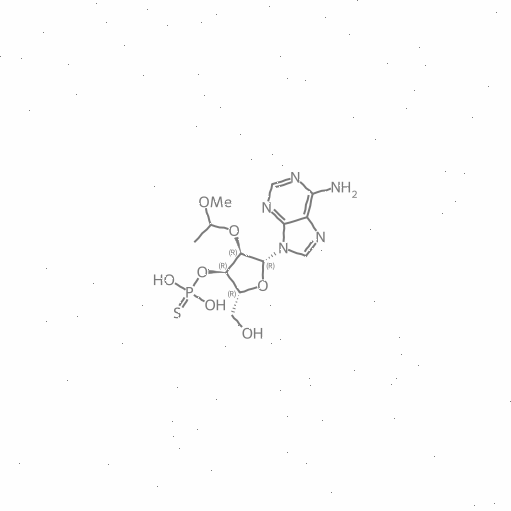 COC(C)O[C@@H]1[C@H](OP(O)(O)=S)[C@@H](CO)O[C@H]1n1cnc2c(N)ncnc21